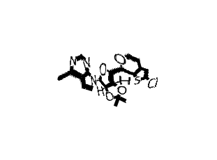 Cc1ncnc2c1ccn2[C@@H]1O[C@H]([C@@H]2OCCc3cc(Cl)sc32)[C@H]2OC(C)(C)O[C@H]21